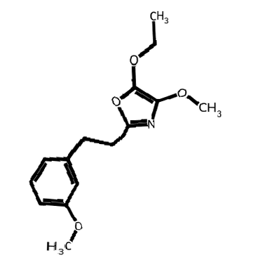 CCOc1oc(CCc2cccc(OC)c2)nc1OC